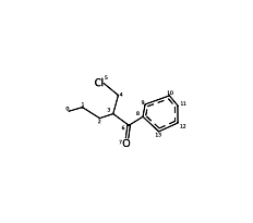 CCCC(CCl)C(=O)c1ccccc1